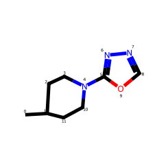 CC1CCN(c2nnco2)CC1